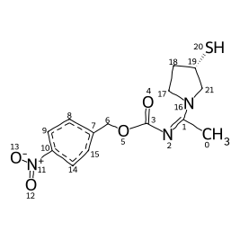 CC(=NC(=O)OCc1ccc([N+](=O)[O-])cc1)N1CC[C@H](S)C1